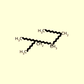 C=C(CCCCCCCCCC)CCCCCCCN(C)CCCCCCCC(=C)CC(CCCCCCCC)CCCCCCCC